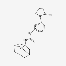 O=C(Nc1cccc(N2CCCC2=O)c1)NC12CC3CC(CC(C3)C1)C2